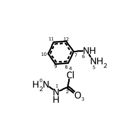 NNC(=O)Cl.NNc1ccccc1